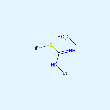 CC(=O)O.CCCSC(=N)NCC